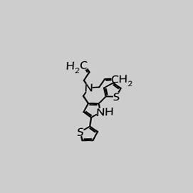 C=CCN(CC=C)Cc1cc(-c2cccs2)[nH]c1-c1cccs1